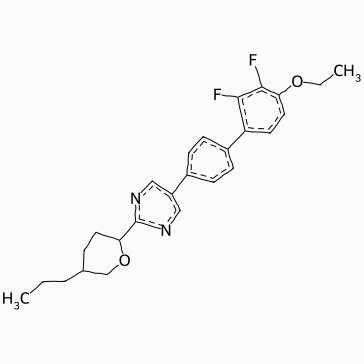 CCCC1CCC(c2ncc(-c3ccc(-c4ccc(OCC)c(F)c4F)cc3)cn2)OC1